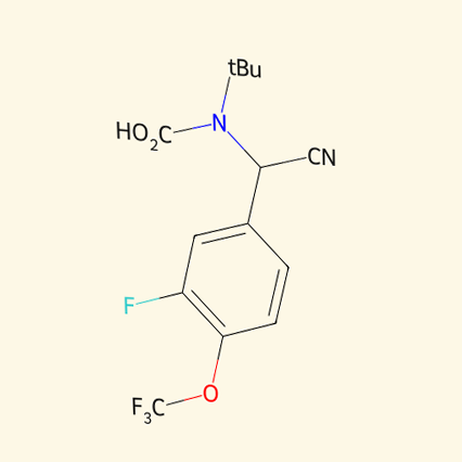 CC(C)(C)N(C(=O)O)C(C#N)c1ccc(OC(F)(F)F)c(F)c1